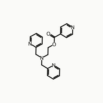 O=C(OCCN(Cc1ccccn1)Cc1ccccn1)c1ccncc1